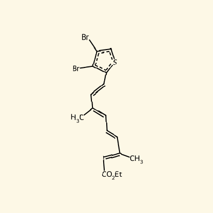 CCOC(=O)C=C(C)C=CC=C(C)C=Cc1scc(Br)c1Br